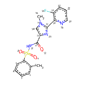 Cc1ccccc1S(=O)(=O)NC(=O)c1cn(C)c(-c2ncccc2F)n1